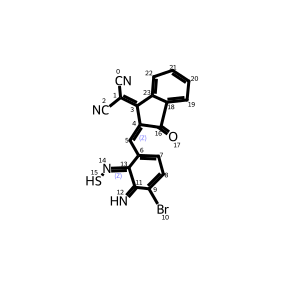 N#CC(C#N)=C1/C(=C/C2=CC=C(Br)C(=N)/C2=N\S)C(=O)c2ccccc21